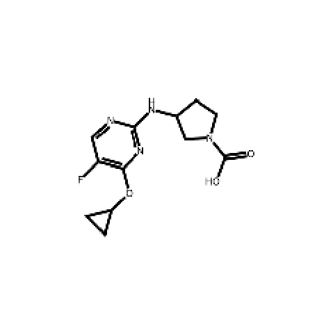 O=C(O)N1CCC(Nc2ncc(F)c(OC3CC3)n2)C1